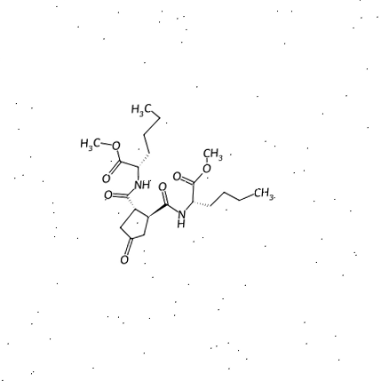 CCCC[C@H](NC(=O)[C@H]1CC(=O)C[C@@H]1C(=O)N[C@@H](CCCC)C(=O)OC)C(=O)OC